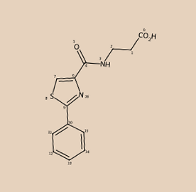 O=C(O)CCNC(=O)c1csc(-c2ccccc2)n1